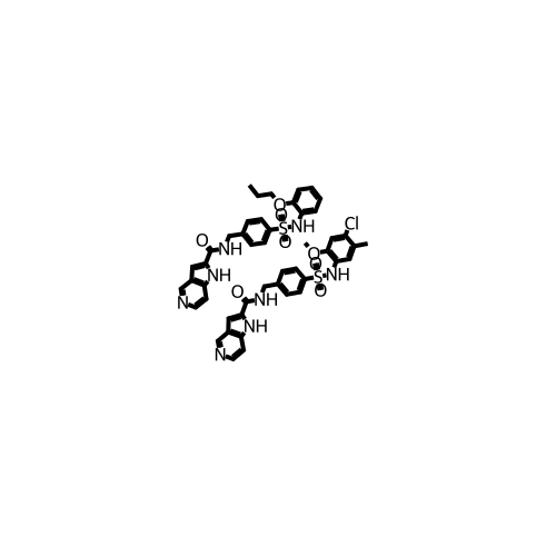 CCCOc1ccccc1NS(=O)(=O)c1ccc(CNC(=O)c2cc3cnccc3[nH]2)cc1.COc1cc(Cl)c(C)cc1NS(=O)(=O)c1ccc(CNC(=O)c2cc3cnccc3[nH]2)cc1